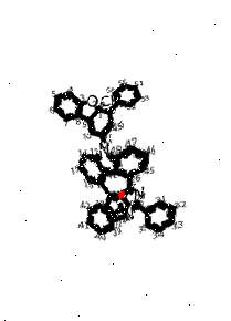 CC12Oc3ccccc3C1=CC(n1c3cccc(C4=CCCC#C4)c3c3c(-c4nc(-c5ccccc5)nc(-c5ccccc5)n4)cccc31)=CC2c1ccccc1